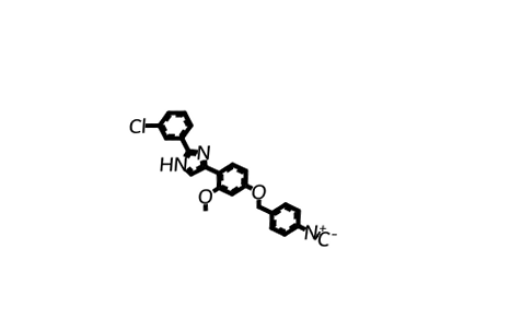 [C-]#[N+]c1ccc(COc2ccc(-c3c[nH]c(-c4cccc(Cl)c4)n3)c(OC)c2)cc1